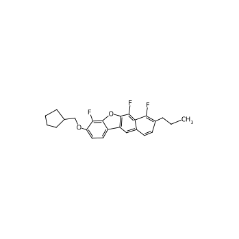 CCCc1ccc2cc3c(oc4c(F)c(OCC5CCCC5)ccc43)c(F)c2c1F